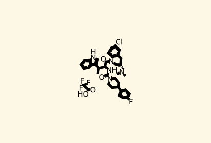 CC(c1c[nH]c2ccccc12)C(NC(=O)N1CCC(c2ccc(F)cc2)CC1)C(=O)N1C[C@@H](CN(C)C)Cc2cc(Cl)ccc21.O=C(O)C(F)(F)F